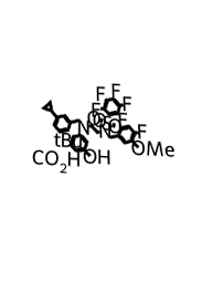 COc1cc(CN(CC(=O)N(Cc2cc(C3CC3)cc(C(C)(C)C)c2)c2ccc(C(=O)O)c(O)c2)S(=O)(=O)c2c(F)c(F)c(F)c(F)c2F)ccc1F